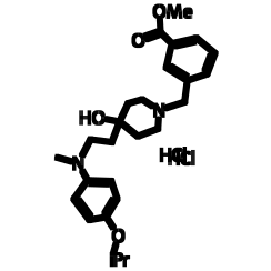 COC(=O)c1cccc(CN2CCC(O)(CCN(C)c3ccc(OC(C)C)cc3)CC2)c1.Cl.Cl